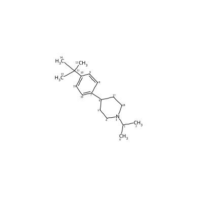 CC(C)N1CCC(c2ccc(C(C)(C)C)cc2)CC1